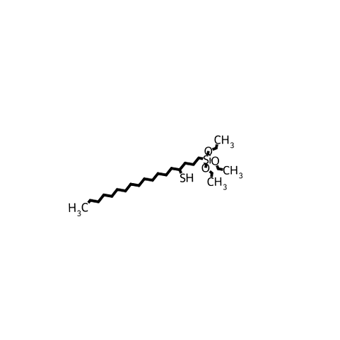 CCCCCCCCCCCCCCC(S)CCC[Si](OCC)(OCC)OCC